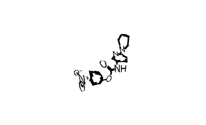 O=C(Nc1ccc(N2CCCC2)nc1)Oc1ccc([N+](=O)[O-])cc1